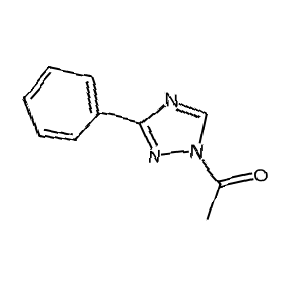 CC(=O)n1cnc(-c2ccccc2)n1